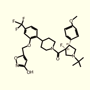 COc1ccc([C@@H]2CN(C(C)(C)C)C[C@@]2(F)C(=O)N2CCC(c3ccc(C(F)(F)F)cc3OCc3cc(O)no3)CC2)cc1